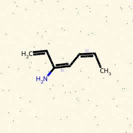 C=C/C(N)=C\C=C/C